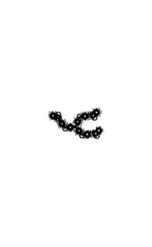 c1ccc2c(c1)CN(c1ccc(Oc3ccc(C(c4ccc(Oc5ccc(N6COc7ccccc7C6)cc5)cc4)c4ccc(Oc5ccc(N6COc7ccccc7C6)cc5)cc4)cc3)cc1)CO2